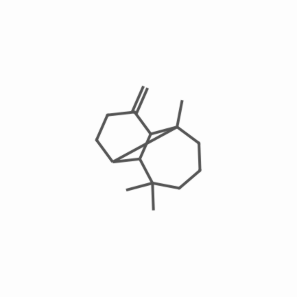 C=C1CCC2C3C1C2(C)CCCC3(C)C